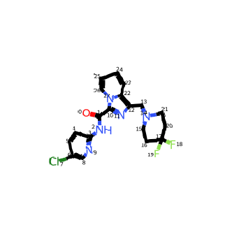 O=C(Nc1ccc(Cl)cn1)c1nc(CN2CCC(F)(F)CC2)c2ccccn12